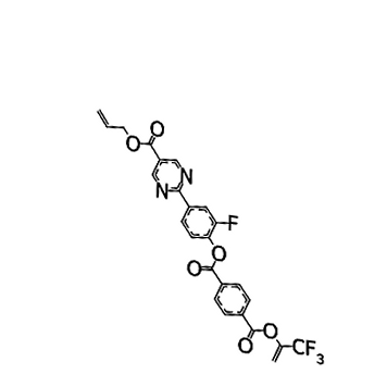 C=CCOC(=O)c1cnc(-c2ccc(OC(=O)c3ccc(C(=O)OC(=C)C(F)(F)F)cc3)c(F)c2)nc1